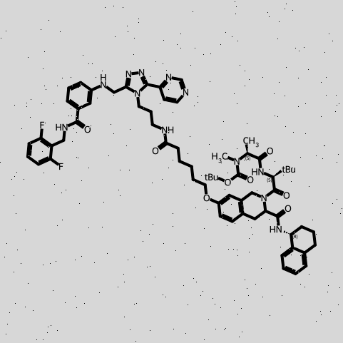 C[C@@H](C(=O)N[C@H](C(=O)N1Cc2cc(OCCCCCC(=O)NCCCn3c(CNc4cccc(C(=O)NCc5c(F)cccc5F)c4)nnc3-c3ccncn3)ccc2CC1C(=O)N[C@@H]1CCCc2ccccc21)C(C)(C)C)N(C)C(=O)OC(C)(C)C